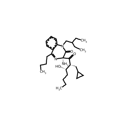 CCCCC1=N[C@](N)(C(=O)[C@H](CC2CC2)[C@@H](O)CCCC)C(=O)N(CC(CC)CC)c2ccccc21